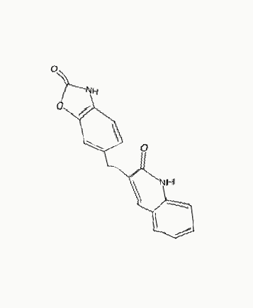 O=c1[nH]c2ccc(Cc3cc4ccccc4[nH]c3=O)cc2o1